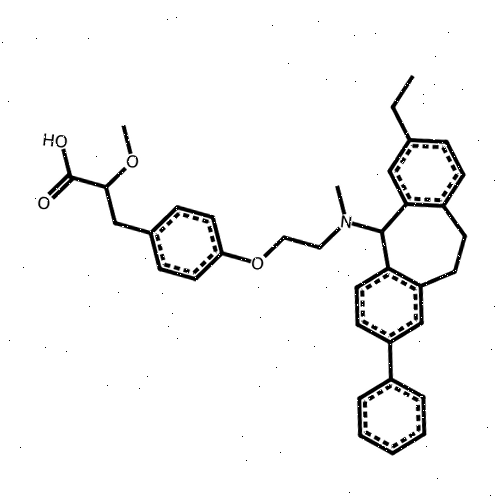 CCc1ccc2c(c1)C(N(C)CCOc1ccc(CC(OC)C(=O)O)cc1)c1ccc(-c3ccccc3)cc1CC2